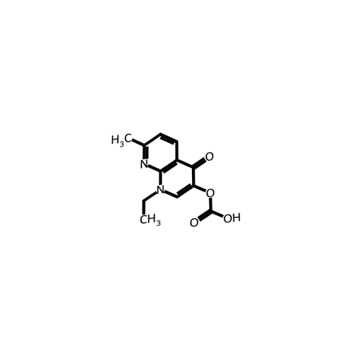 CCn1cc(OC(=O)O)c(=O)c2ccc(C)nc21